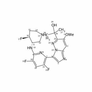 COc1cc2ncc(-c3nc(N[C@H]4CNCC[C@@H]4F)c(F)cc3F)n2nc1C(C)(C)O